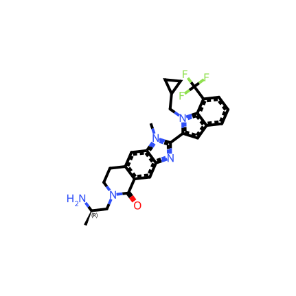 C[C@@H](N)CN1CCc2cc3c(cc2C1=O)nc(-c1cc2cccc(C(F)(F)F)c2n1CC1CC1)n3C